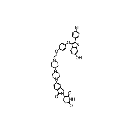 O=C1CCC(N2Cc3cc(N4CCN(C5CCN(CCOc6ccc(Oc7c(-c8ccc(Br)cc8)sc8cc(O)ccc78)cc6)CC5)CC4)ccc3C2=O)C(=O)N1